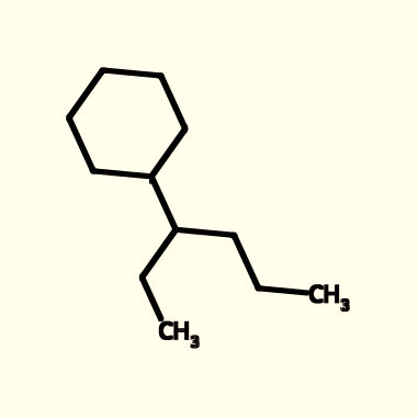 CCCC(CC)[C]1CCCCC1